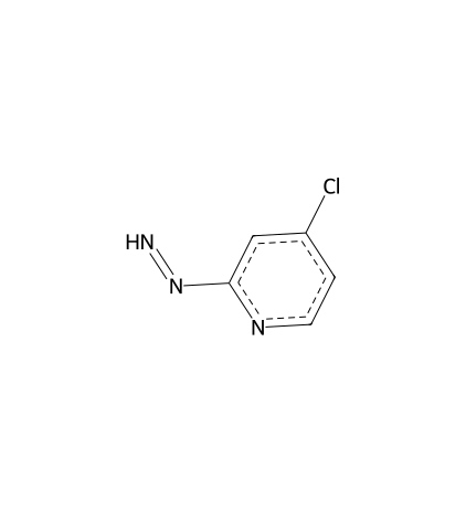 N=Nc1cc(Cl)ccn1